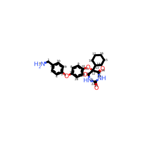 NCc1ccc(Oc2ccc(OC3(C4CCCCC4)C(=O)NC(=O)NC3=O)cc2)cc1